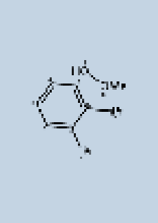 CC(C)c1ccccc1C(C)C.COO